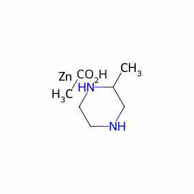 CC(=O)O.CC1CNCCN1.[Zn]